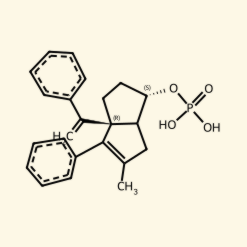 C=C(c1ccccc1)[C@@]12CC[C@H](OP(=O)(O)O)C1CC(C)=C2c1ccccc1